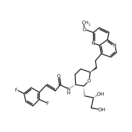 COc1ccc2nccc(CC[C@@H]3CC[C@@H](NC(=O)/C=C/c4cc(F)ccc4F)[C@@H](C[C@H](O)CO)O3)c2n1